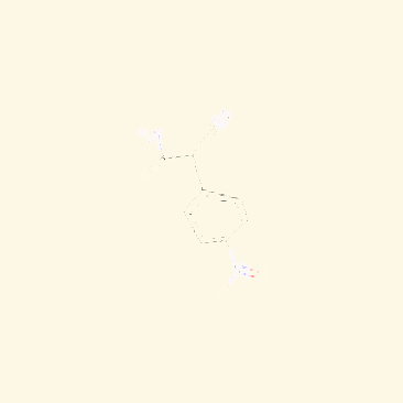 N#CC(C(N)=O)c1ccc([N+](=O)[O-])cc1